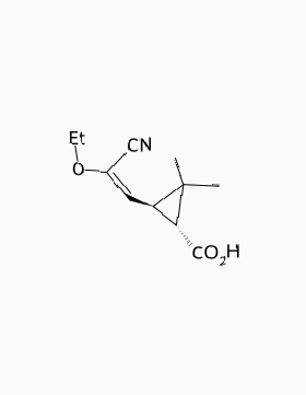 CCO/C(C#N)=C/[C@@H]1[C@@H](C(=O)O)C1(C)C